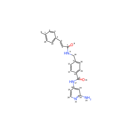 Cc1ccc(/C=C/C(=O)NCc2ccc(C(=O)Nc3ccnc(N)c3)cc2)cc1